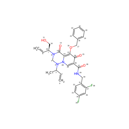 C=CC(C)N1CN([C@@H](C=C)CO)C(=O)c2c(OCc3ccccc3)c(=O)c(C(=O)NCc3ccc(F)cc3F)cn21